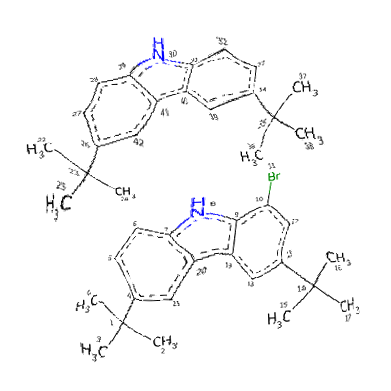 CC(C)(C)c1ccc2[nH]c3c(Br)cc(C(C)(C)C)cc3c2c1.CC(C)(C)c1ccc2[nH]c3ccc(C(C)(C)C)cc3c2c1